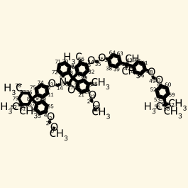 COCOc1ccc(C2(c3ccc(OCN4C(=O)C(c5ccc(OCOC)c(C)c5)(c5ccc(OCOc6ccc(C(C)(C)c7ccc(OCOc8ccc(C(C)(C)C)cc8)cc7)cc6)c(C)c5)c5ccccc54)cc3)CC(C)CC(C)(C)C2)cc1